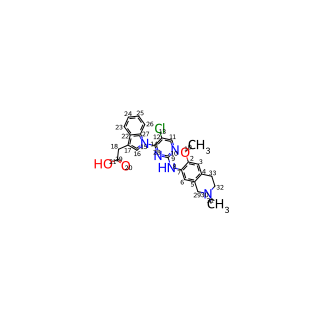 COc1cc2c(cc1Nc1ncc(Cl)c(-n3cc(CC(=O)O)c4ccccc43)n1)CN(C)CC2